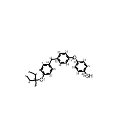 CCC(C)(CC)Oc1ccc(Cc2ccc(Oc3ccc(S)cc3)cc2)cc1